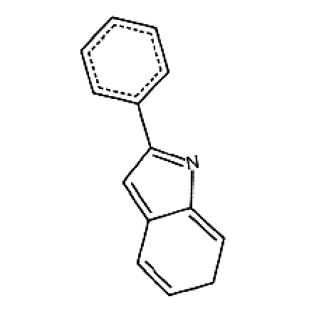 C1=CC2=CC(c3ccccc3)=NC2=CC1